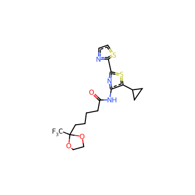 O=C(CCCCC1(C(F)(F)F)OCCO1)Nc1nc(-c2nccs2)sc1C1CC1